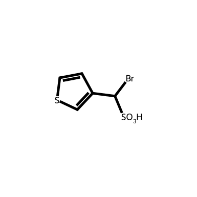 O=S(=O)(O)C(Br)c1ccsc1